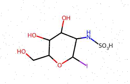 O=S(=O)(O)NC1C(I)OC(CO)C(O)C1O